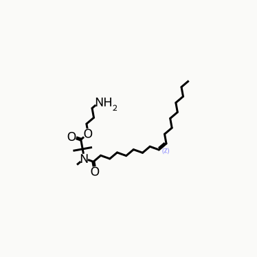 CCCCCCCC/C=C\CCCCCCCC(=O)N(C)C(C)(C)C(=O)OCCCN